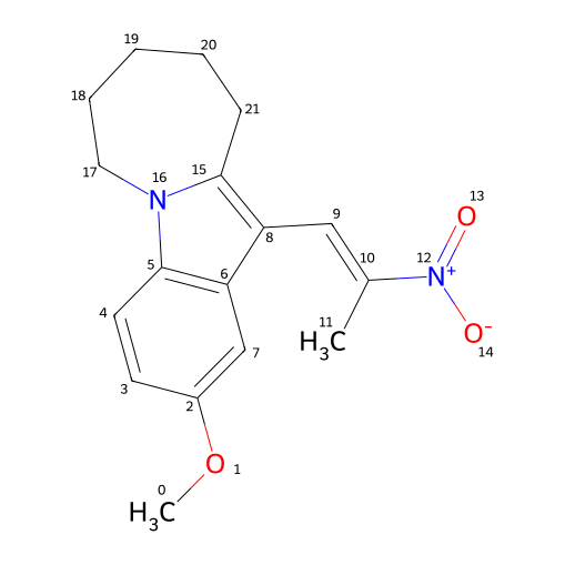 COc1ccc2c(c1)c(C=C(C)[N+](=O)[O-])c1n2CCCCC1